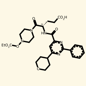 CCOC(=O)ON1CCN(C(=O)[C@H](CCC(=O)O)NC(=O)c2cc(C3CCOCC3)nc(-c3ccccc3)n2)CC1